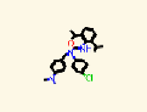 CC(C)c1cccc(C(C)C)c1NC(=O)N(Cc1ccc(N(C)C)cc1)c1ccc(Cl)cc1